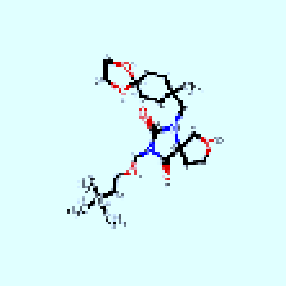 CC1(CN2C(=O)N(COCC[Si](C)(C)C)C(=O)C23CCOC3)CCC2(CC1)OCCO2